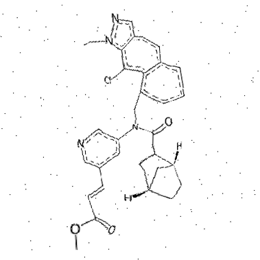 COC(=O)/C=C/c1cncc(N(Cc2cccc3cc4cnn(C)c4c(Cl)c23)C(=O)C2C[C@H]3CC[C@@H]2C3)c1